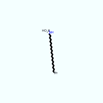 CC(C)CCCCCCCCCCCCCCCCCCCCCNC(=O)O